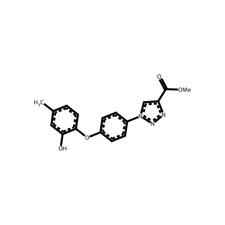 COC(=O)c1cn(-c2ccc(Oc3ccc(C)cc3O)cc2)nn1